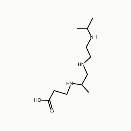 CC(C)NCCNCC(C)NCCC(=O)O